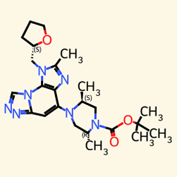 Cc1nc2c(N3C[C@@H](C)N(C(=O)OC(C)(C)C)C[C@@H]3C)cc3nncn3c2n1C[C@@H]1CCCO1